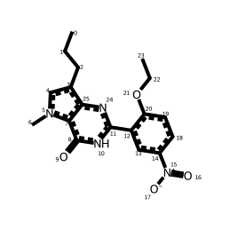 CCCc1cn(C)c2c(=O)[nH]c(-c3cc([N+](=O)[O-])ccc3OCC)nc12